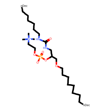 CCCCCCCCCCCCCCCCCCOCC(CNC(=O)NCCCCCCCCCCCCCCCC)OP(=O)([O-])OCC[N+](C)(C)C